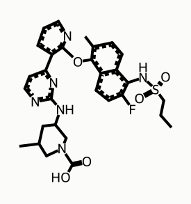 CCCS(=O)(=O)Nc1c(F)ccc2c(Oc3ncccc3-c3ccnc(NC4CC(C)CN(C(=O)O)C4)n3)c(C)ccc12